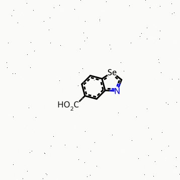 O=C(O)c1ccc2[se]cnc2c1